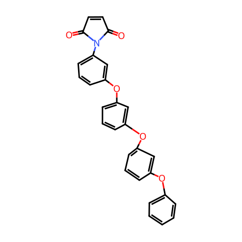 O=C1C=CC(=O)N1c1cccc(Oc2cccc(Oc3cccc(Oc4ccccc4)c3)c2)c1